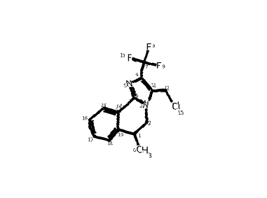 CC1Cn2c(nc(C(F)(F)F)c2CCl)-c2ccccc21